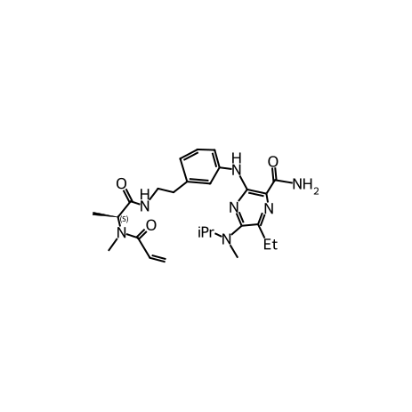 C=CC(=O)N(C)[C@@H](C)C(=O)NCCc1cccc(Nc2nc(N(C)C(C)C)c(CC)nc2C(N)=O)c1